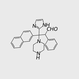 O=CC(c1ccccc1)C(c1ccc2ccccc2c1)(c1ncc[nH]1)N1CCNCC1